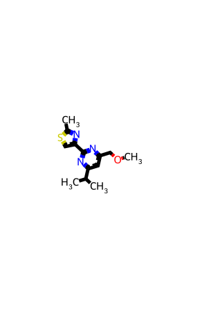 COCc1cc(C(C)C)nc(-c2csc(C)n2)n1